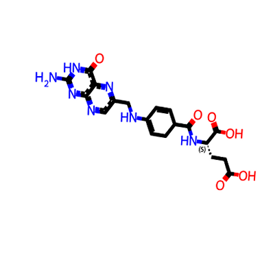 Nc1nc2ncc(CNC3=CCC(C(=O)N[C@@H](CCC(=O)O)C(=O)O)C=C3)nc2c(=O)[nH]1